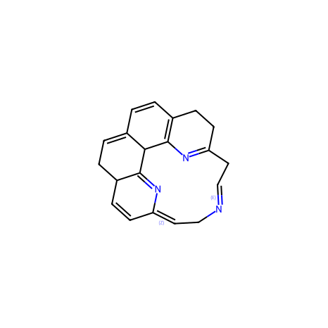 C1=CC2=C3N=C(C/C=N/C/C=C4/C=CC5CC=C1C3C5=N4)CC2